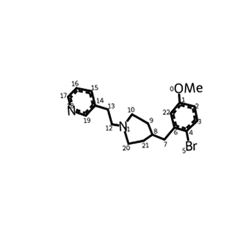 COc1ccc(Br)c(CC2CCN(CCc3cccnc3)CC2)c1